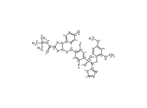 COc1ccc(CN(c2ncns2)S(=O)(=O)c2cc(F)c(OCC3CN(C(=O)OC(C)(C)C)CC3c3ccc(Cl)cc3)cc2F)c(OC)c1